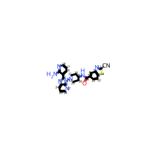 N#Cc1nc2cc(C(=O)NC3CCN(n4c(-c5cccnc5N)nc5cccnc54)CC3)ccc2s1